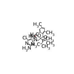 COC(Cn1cnc2c(Cl)nc(N)nc21)(C(=O)c1c(C)cc(C)cc1C)P(C(C)C)C(C)C